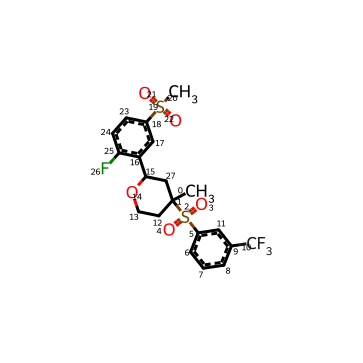 CC1(S(=O)(=O)c2cccc(C(F)(F)F)c2)CCOC(c2cc(S(C)(=O)=O)ccc2F)C1